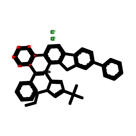 CCCC1C=C(C(C)(C)C)C=[C]1[Zr+2](=[C](c1ccccc1)c1ccccc1)[c]1c(-c2ccccc2)ccc2c1Cc1cc(-c3ccccc3)ccc1-2.[Cl-].[Cl-]